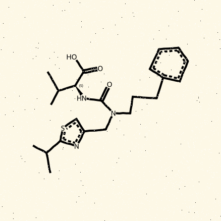 CC(C)c1nc(CN(CCCc2ccccc2)C(=O)N[C@H](C(=O)O)C(C)C)cs1